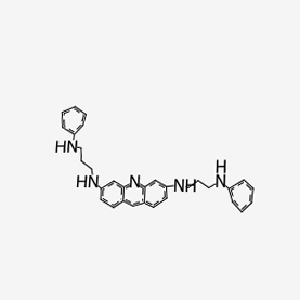 c1ccc(NCCCNc2ccc3cc4ccc(NCCCNc5ccccc5)cc4nc3c2)cc1